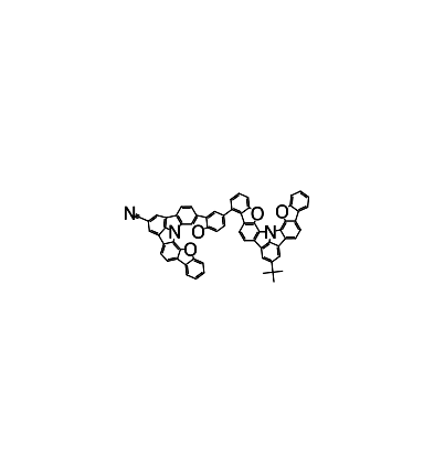 CC(C)(C)c1cc2c3ccc4c5ccccc5oc4c3n3c2c(c1)c1ccc2c(oc4cccc(-c5ccc6oc7c(ccc8c9cc(C#N)cc%10c%11ccc%12c%13ccccc%13oc%12c%11n(c%109)c87)c6c5)c42)c13